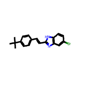 CC(C)(C)c1ccc(C=Cc2nc3cc(Br)ccc3[nH]2)cc1